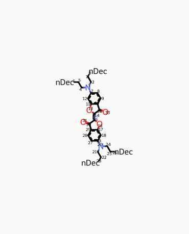 CCCCCCCCCCCCN(CCCCCCCCCCCC)c1ccc2c(c1)O/C(=C1/Oc3cc(N(CCCCCCCCCCCC)CCCCCCCCCCCC)ccc3C1=O)C2=O